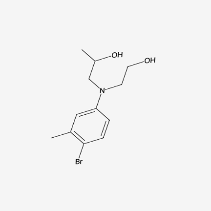 Cc1cc(N(CCO)CC(C)O)ccc1Br